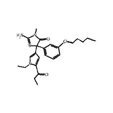 CCCCCOc1cccc(C2(c3cc(C(=O)CC)n(CC)c3)N=C(N)N(C)C2=O)c1